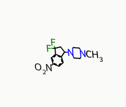 CN1CCN(C2CC(F)(F)c3cc([N+](=O)[O-])ccc32)CC1